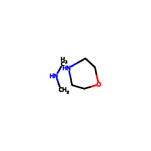 C1COCCN1.CNC